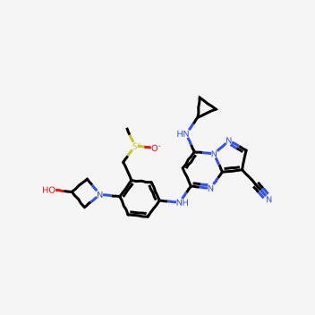 C[S+]([O-])Cc1cc(Nc2cc(NC3CC3)n3ncc(C#N)c3n2)ccc1N1CC(O)C1